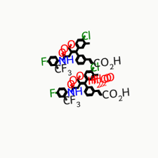 Cc1cc2c(-c3cccc(C=CC(=O)O)c3)c(CC(=O)Nc3ccc(F)cc3C(F)(F)F)c(=O)oc2cc1Cl.Cc1cc2c(-c3cccc(C=CC(=O)O)c3)c(CC(=O)Nc3ccc(F)cc3C(F)(F)F)c(=O)oc2cc1Cl.O.O.O